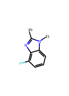 CCn1c(C(C)C)nc2c(F)cccc21